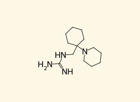 N=C(N)NCC1(N2CCCCC2)CCCCC1